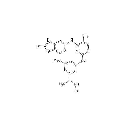 COc1cc(Nc2ncc(C)c(Nc3ccc4oc(=O)[nH]c4c3)n2)cc(C(C)NC(C)C)c1